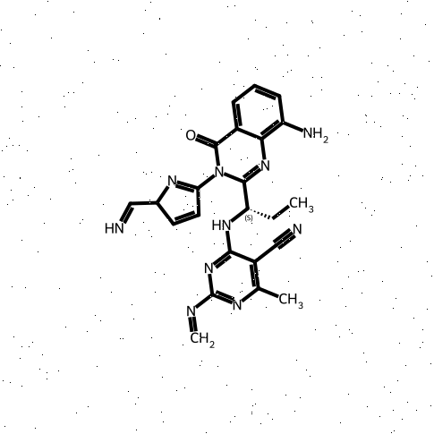 C=Nc1nc(C)c(C#N)c(N[C@@H](CC)c2nc3c(N)cccc3c(=O)n2C2=NC(C=N)C=C2)n1